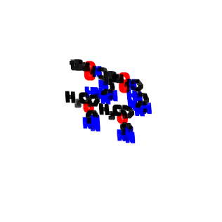 Cc1cc(Nc2ncnc3ccc(C4CCCN(C(=O)OC(C)(C)C)C4)nc23)ccc1Oc1ccn2ncnc2c1.Cc1cc(Nc2ncnc3ccc([C@@H]4CCCN(C(=O)OC(C)(C)C)C4)nc23)ccc1Oc1ccn2ncnc2c1